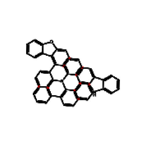 c1ccc(-c2ccccc2N(c2ccccc2-c2cccc3oc4ccccc4c23)c2c(-c3ccccc3)cccc2-c2cccc3c2[nH]c2ccccc23)cc1